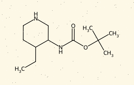 CCC1CCNCC1NC(=O)OC(C)(C)C